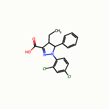 CCC1C(C(=O)O)=NN(c2ccc(Cl)cc2Cl)C1c1ccccc1